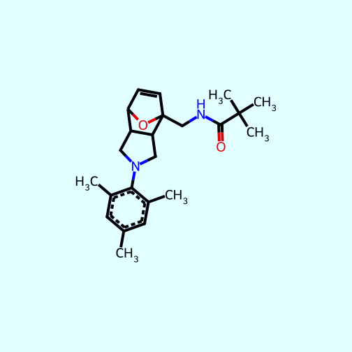 Cc1cc(C)c(N2CC3C4C=CC(CNC(=O)C(C)(C)C)(O4)C3C2)c(C)c1